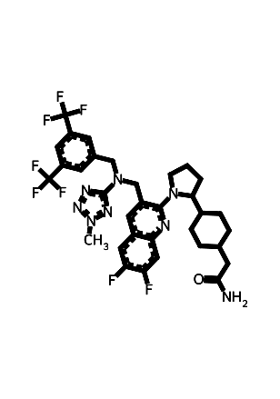 Cn1nnc(N(Cc2cc(C(F)(F)F)cc(C(F)(F)F)c2)Cc2cc3cc(F)c(F)cc3nc2N2CCCC2C2CCC(CC(N)=O)CC2)n1